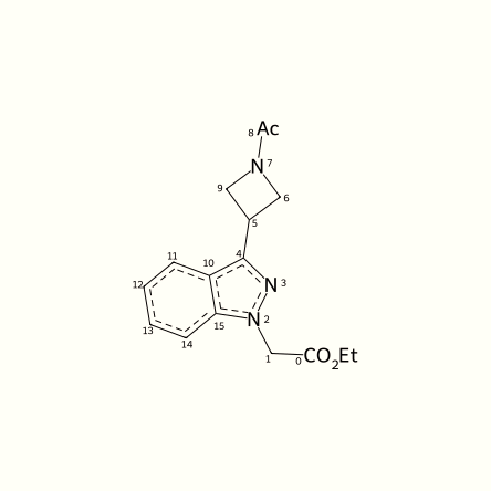 CCOC(=O)Cn1nc(C2CN(C(C)=O)C2)c2ccccc21